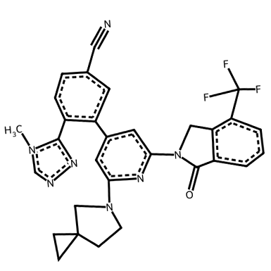 Cn1cnnc1-c1ccc(C#N)cc1-c1cc(N2CCC3(CC3)C2)nc(N2Cc3c(cccc3C(F)(F)F)C2=O)c1